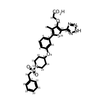 Cc1c(-c2cccc(OC3CCN(S(=O)(=O)Cc4ccccc4)CC3)c2)sc(-c2nn[nH]n2)c1OCC(=O)O